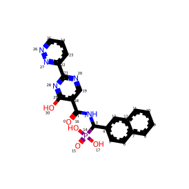 O=C(NC(c1ccc2ccccc2c1)P(=O)(O)O)c1cnc(-c2cccnn2)nc1O